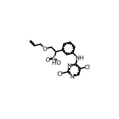 C=CCOCC(c1cccc(Nc2nc(Cl)ncc2Cl)c1)[SH](=O)=O